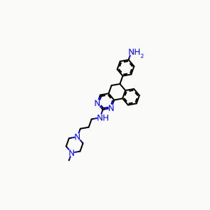 CN1CCN(CCCNc2ncc3c(n2)-c2ccccc2C(c2ccc(N)cc2)C3)CC1